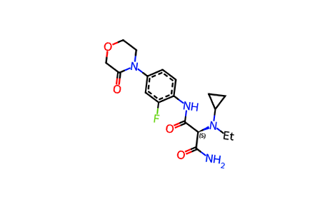 CCN(C1CC1)[C@@H](C(N)=O)C(=O)Nc1ccc(N2CCOCC2=O)cc1F